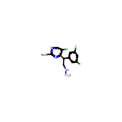 CSc1ncc(Br)c(C(CNC(=O)O)c2cc(F)cc(F)c2)n1